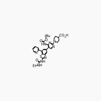 CCNC(=O)Nc1nc2cc(-c3cnc(N4CCC(C(=O)O)CC4)nc3NC(=O)OC(C)(C)C)cc(-c3ccccn3)c2s1